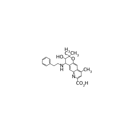 Cc1cc(C(=O)O)nc2cc3c(cc12)OC(C)(C)C(O)C3NCCc1ccccc1